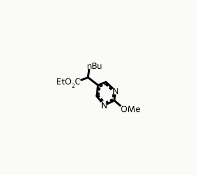 CCCCC(C(=O)OCC)c1cnc(OC)nc1